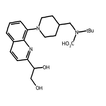 CC(C)(C)N(CC1CCN(c2cccc3ccc(C(O)CO)nc23)CC1)C(=O)O